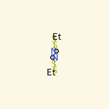 CCSCCSCc1cccc(-c2cccc(CSCCSCC)n2)n1